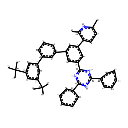 Cc1ccc(-c2cc(-c3cccc(-c4cc(C(C)(C)C)cc(C(C)(C)C)c4)c3)cc(-c3nc(-c4ccccc4)nc(-c4ccccc4)n3)c2)c(C)n1